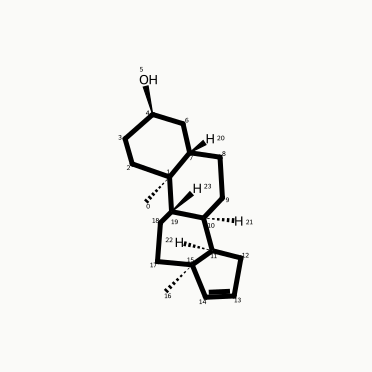 C[C@]12CC[C@@H](O)C[C@@H]1CC[C@H]1[C@H]3CC=C[C@@]3(C)CC[C@@H]12